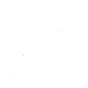 COCC(C)NC(=O)c1ccc(NC(=O)N2Cc3ccccc3C2)cc1